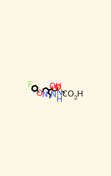 Cc1nc(C(=O)NCC(=O)O)c(O)c2ccc(Oc3ccc(F)cc3)nc12